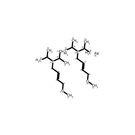 COCC=CCP(C(C)C)C(C)C.COCC=CCP(C(C)C)C(C)C.[Pd]